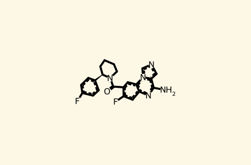 Nc1nc2cc(F)c(C(=O)N3CCCC[C@@H]3c3ccc(F)cc3)cc2n2cncc12